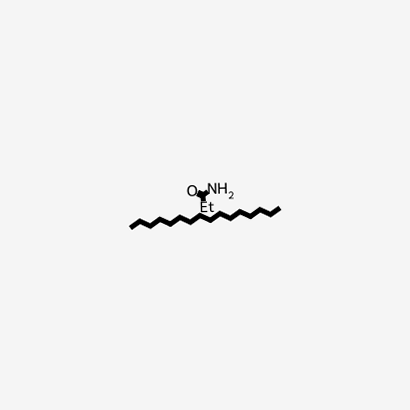 CCC(N)=O.CCCCCCCCCCCCCCCC